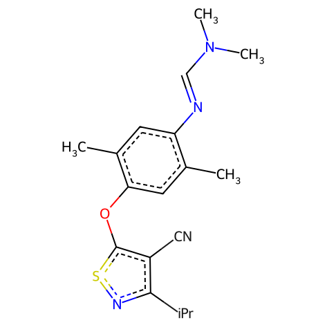 Cc1cc(Oc2snc(C(C)C)c2C#N)c(C)cc1N=CN(C)C